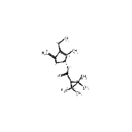 C=C1C[C@@H](OC(=O)C2C(C)(C)C2(C)C)C(C)=C1CC(F)(F)F